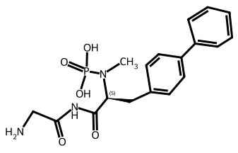 CN([C@@H](Cc1ccc(-c2ccccc2)cc1)C(=O)NC(=O)CN)P(=O)(O)O